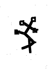 CC1(C)[CH]C1C(Br)C(Cl)(Cl)Br